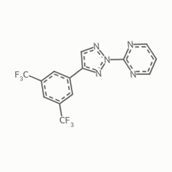 FC(F)(F)c1cc(-c2cnn(-c3ncccn3)n2)cc(C(F)(F)F)c1